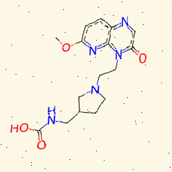 COc1ccc2ncc(=O)n(CCN3CCC(CNC(=O)O)C3)c2n1